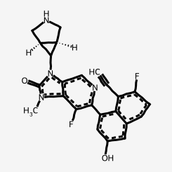 C#Cc1c(F)ccc2cc(O)cc(-c3ncc4c(c3F)n(C)c(=O)n4C3[C@H]4CNC[C@@H]34)c12